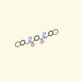 O=C(NCc1ccc2c(c1)CCCC2)c1cccc(C(=O)NCc2ccc3c(c2)CCCC3)c1